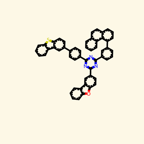 c1cc(-c2nc(-c3ccc(-c4ccc5sc6ccccc6c5c4)cc3)nc(-c3ccc4oc5ccccc5c4c3)n2)cc(-c2cccc3ccc4ccccc4c23)c1